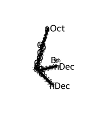 CCCCCCCC/C=C/CCCCCCCC(=O)OCCOCCOCCOCC[N+](C)(C)CC(CO/C=C/CCCCCCCCCCCCCCCC)O/C=C/CCCCCCCCCCCCCCCC.[Br-]